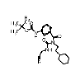 CC(C)(C)OC(=O)Nc1cccc(C(=O)N(CCC2CCCCC2)C(=O)NCC#N)c1